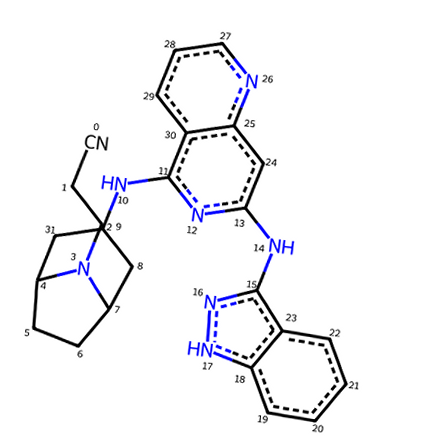 N#CCCN1C2CCC1CC(Nc1nc(Nc3n[nH]c4ccccc34)cc3ncccc13)C2